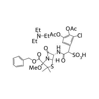 CCN(CC)CC.CO[C@@]1(C(=O)OCc2ccccc2)N2C(=O)[C@H](NC(=O)C(c3cc(Cl)c(OC(C)=O)c(OC(C)=O)c3)S(=O)(=O)O)[C@H]2SC1(C)C